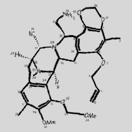 C=CCOc1c(C)c2c(c3c1CC1[C@H]4c5c(cc(C)c(OC)c5OCOC)C[C@@H]([C@H](C#N)N1[C@H]3CN)N4C)OCO2